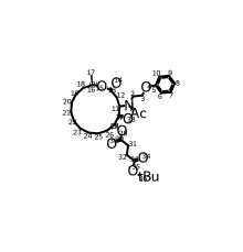 CC(=O)N(CCOc1ccccc1)C1CC(=O)O[C@H](C)CCCCCCCCC[C@H](OC(=O)CCC(=O)OC(C)(C)C)C1=O